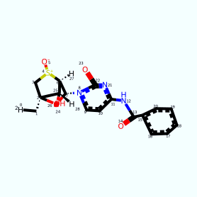 [2H]C[C@@]12C[S+]([O-])[C@@H]([C@H](n3ccc(NC(=O)c4ccccc4)nc3=O)O1)[C@@H]2O